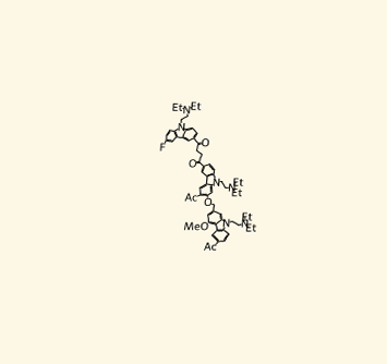 CCN(CC)CCn1c2ccc(F)cc2c2cc(C(=O)CCC(=O)c3ccc4c(c3)c3cc(C(C)=O)c(OCc5cc(OC)c6c7cc(C(C)=O)ccc7n(CCN(CC)CC)c6c5)cc3n4CCN(CC)CC)ccc21